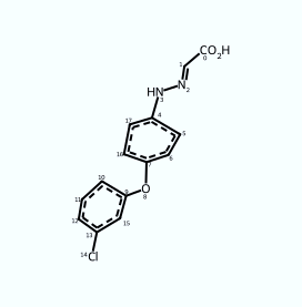 O=C(O)/C=N/Nc1ccc(Oc2cccc(Cl)c2)cc1